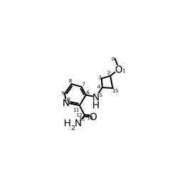 COC1CC(Nc2cccnc2C(N)=O)C1